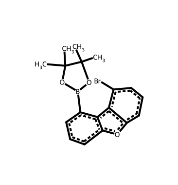 CC1(C)OB(c2cccc3oc4cccc(Br)c4c23)OC1(C)C